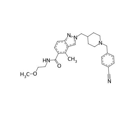 COCCNC(=O)c1ccc2nn(CC3CCN(Cc4ccc(C#N)cc4)CC3)cc2c1C